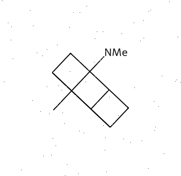 CNC12CC3C4CC1C4C32C